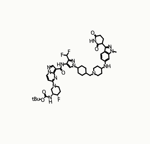 Cn1nc(C2CCC(=O)NC2=O)c2ccc(NC3CCN(CC4CCC(n5cc(NC(=O)c6cnn7ccc(N8CC[C@H](F)[C@@H](NC(=O)OC(C)(C)C)C8)nc67)c(C(F)F)n5)CC4)CC3)cc21